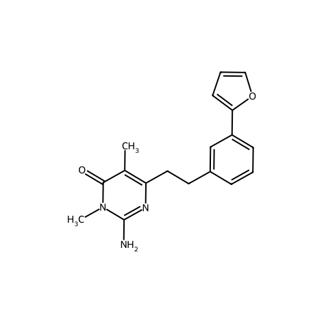 Cc1c(CCc2cccc(-c3ccco3)c2)nc(N)n(C)c1=O